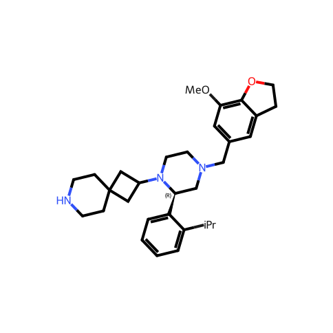 COc1cc(CN2CCN(C3CC4(CCNCC4)C3)[C@H](c3ccccc3C(C)C)C2)cc2c1OCC2